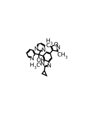 Cc1noc(C)c1-c1cc(C(O)(c2ccccn2)c2ncccn2)c2c(c1)nc(C1CC1)n2C